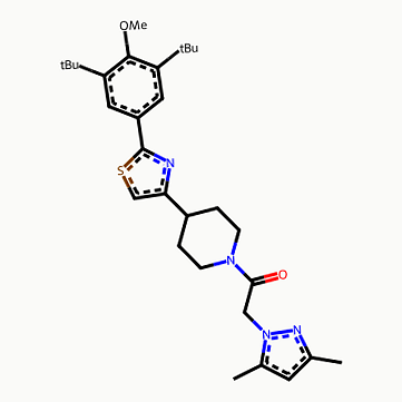 COc1c(C(C)(C)C)cc(-c2nc(C3CCN(C(=O)Cn4nc(C)cc4C)CC3)cs2)cc1C(C)(C)C